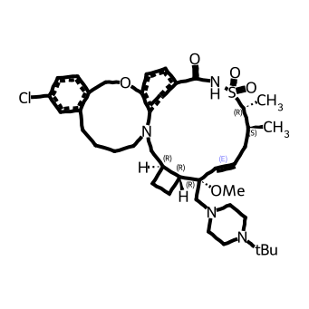 CO[C@@]1(CN2CCN(C(C)(C)C)CC2)/C=C/C[C@H](C)[C@@H](C)S(=O)(=O)NC(=O)c2ccc3c(c2)N(CCCCc2cc(Cl)ccc2CO3)C[C@@H]2CC[C@H]21